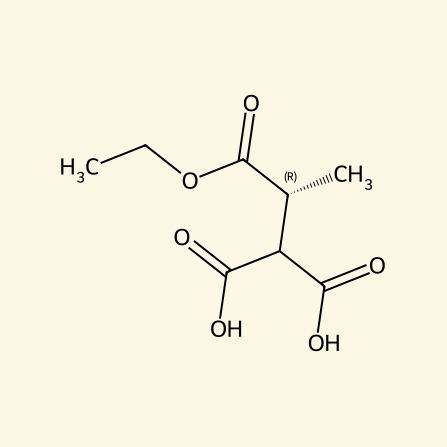 CCOC(=O)[C@H](C)C(C(=O)O)C(=O)O